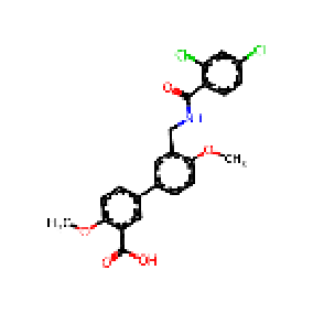 COc1ccc(-c2ccc(OC)c(C(=O)O)c2)cc1CNC(=O)c1ccc(Cl)cc1Cl